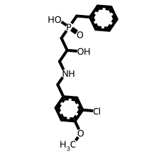 COc1ccc(CNCC(O)CP(=O)(O)Cc2ccccc2)cc1Cl